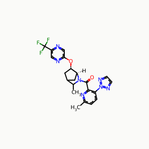 Cc1ccc(-n2nccn2)c(C(=O)N2C(C)C3C[C@@H](Oc4cnc(C(F)(F)F)cn4)[C@@H]2C3)n1